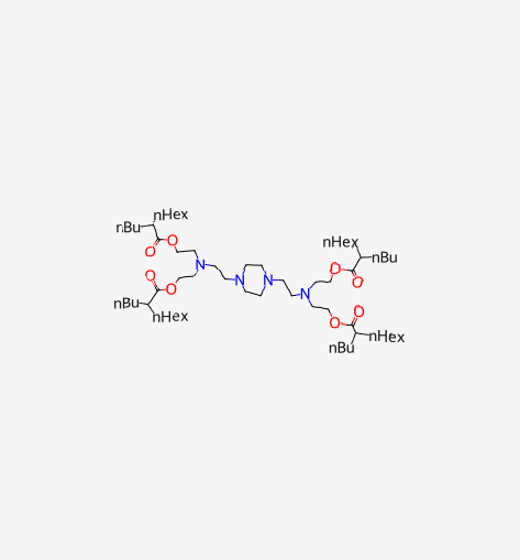 CCCCCCC(CCCC)C(=O)OCCN(CCOC(=O)C(CCCC)CCCCCC)CCN1CCN(CCN(CCOC(=O)C(CCCC)CCCCCC)CCOC(=O)C(CCCC)CCCCCC)CC1